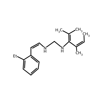 C/C=C(/C)C(NCN/C=C\c1ccccc1CC)=C(C)C